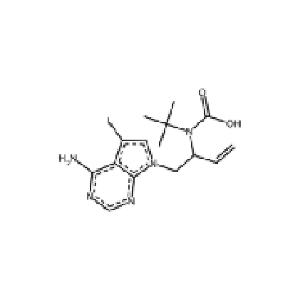 C=CC(Cn1cc(I)c2c(N)ncnc21)N(C(=O)O)C(C)(C)C